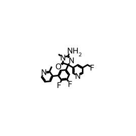 Cc1ncccc1-c1cc(C2(c3cncc(CF)c3)N=C(N)N(C)C2=O)cc(F)c1F